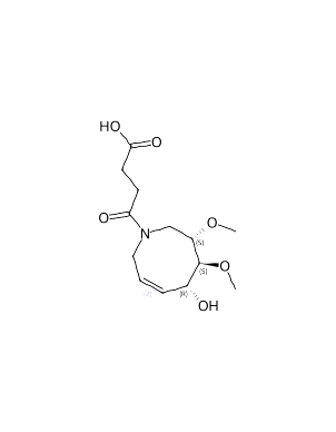 CO[C@H]1[C@H](O)/C=C\CN(C(=O)CCC(=O)O)C[C@@H]1OC